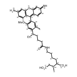 CCN(CCCC(=O)NCCCCC(C(=O)O)N(C)CC(=O)O)c1cc(OC)c(-c2c3ccc(=N)cc-3oc3cc(N)ccc23)cc1C